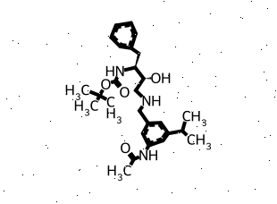 CC(=O)Nc1cc(CNC[C@@H](O)[C@H](Cc2ccccc2)NC(=O)OC(C)(C)C)cc(C(C)C)c1